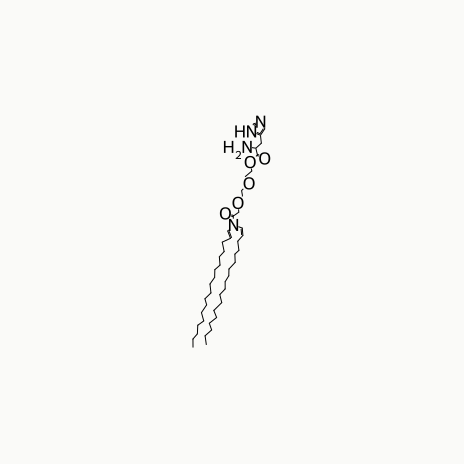 CCCCCCCCCCCCCCCC/C=C\N(/C=C/CCCCCCCCCCCCCCCC)C(=O)COCCOCCOC(=O)C(N)Cc1cnc[nH]1